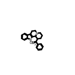 Cn1c2c(c3ccccc31)CCN1CCCC(C(=O)c3ccccc3)C21